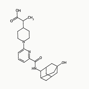 CC(C(=O)O)C1CCN(c2cccc(C(=O)NC3C4CC5CC3CC(O)(C5)C4)n2)CC1